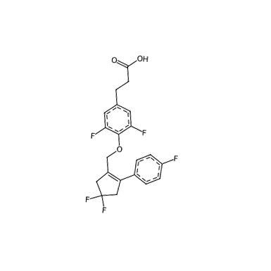 O=C(O)CCc1cc(F)c(OCC2=C(c3ccc(F)cc3)CC(F)(F)C2)c(F)c1